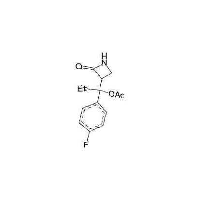 CCC(OC(C)=O)(c1ccc(F)cc1)C1CNC1=O